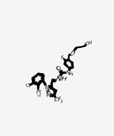 O=C(NCc1cc(C(F)(F)F)nn1-c1cccc(Cl)c1Cl)Nc1ccc(COCCO)c(F)c1